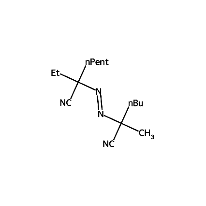 CCCCCC(C#N)(CC)/N=N/C(C)(C#N)CCCC